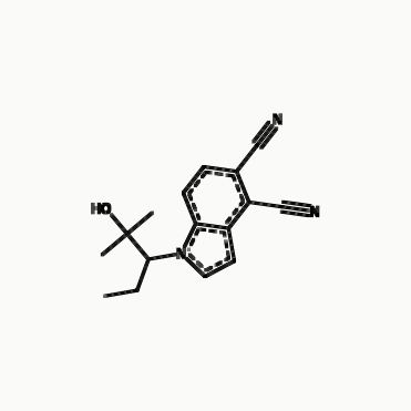 CCC(n1ccc2c(C#N)c(C#N)ccc21)C(C)(C)O